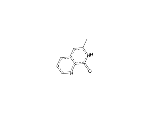 Cc1cc2cccnc2c(=O)[nH]1